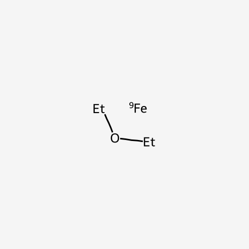 CCOCC.[9Fe]